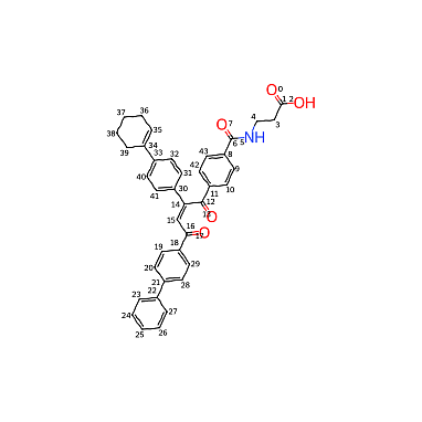 O=C(O)CCNC(=O)c1ccc(C(=O)/C(=C\C(=O)c2ccc(-c3ccccc3)cc2)c2ccc(C3=CCCCC3)cc2)cc1